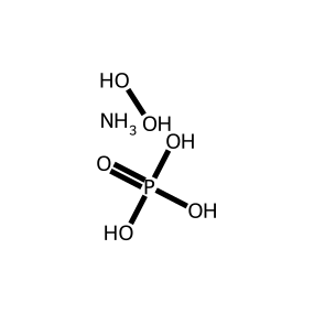 N.O=P(O)(O)O.OO